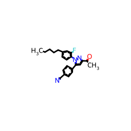 CCCCCc1ccc(-n2nc(C(C)=O)cc2-c2ccc(C#N)cc2)c(F)c1